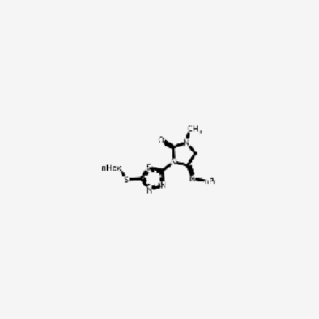 CCCCCCSc1nnc(N2C(=O)N(C)CC2=NCCC)s1